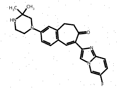 CC1(C)CN(c2ccc3c(c2)CCC(=O)C(c2cn4cc(F)ccc4n2)=C3)CCN1